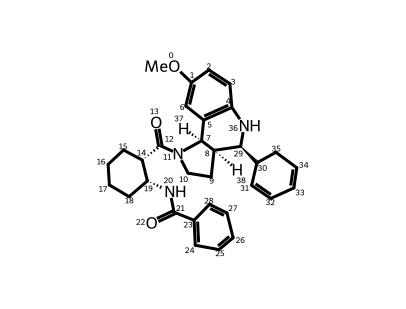 COc1ccc2c(c1)[C@H]1[C@H](CCN1C(=O)[C@H]1CCCC[C@H]1NC(=O)c1ccccc1)[C@H](C1C=CC=CC1)N2